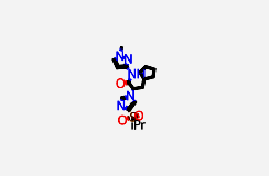 CC(C)S(=O)(=O)c1cn(C(CC2CCCC2)C(=O)Nc2ccn(C)n2)cn1